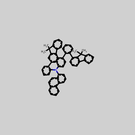 CC1(C)c2ccccc2-c2ccc(-c3ccccc3N(c3ccc(-c4ccccc4-c4cccc5c4C(C)(C)c4ccccc4-5)cc3)c3cccc4c3ccc3ccccc34)cc21